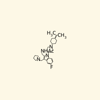 CC(=O)NCc1c(CN2CCCC2)c2cc(F)ccc2n1C1CCN(C2CCC(=C(C)C)CC2)CC1